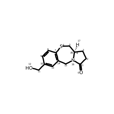 O=C1CC[C@@H]2CSc3ccc(CO)cc3CN12